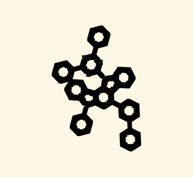 c1ccc(-c2cccc(-c3cc4c(c5ccccc5n4-c4ccccc4)c4c3c3ccccc3n4-c3nc(-c4ccccc4)nc(-c4ccccc4)n3)c2)cc1